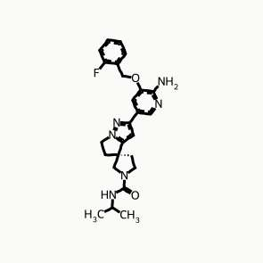 CC(C)NC(=O)N1CC[C@@]2(CCn3nc(-c4cnc(N)c(OCc5ccccc5F)c4)cc32)C1